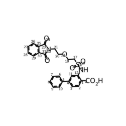 O=C(O)c1ccc(-c2ccccc2)cc1NS(=O)(=O)CCOCCN1C(=O)c2ccccc2C1=O